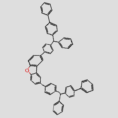 c1ccc(-c2ccc(C(c3ccccc3)c3ccc(-c4ccc5oc6ccc(-c7ccc(C(c8ccccc8)c8ccc(-c9ccccc9)cc8)cc7)cc6c5c4)cc3)cc2)cc1